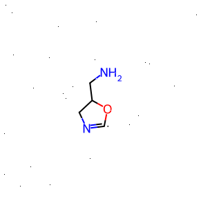 NCC1CN=[C]O1